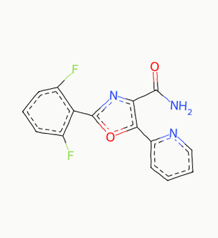 NC(=O)c1nc(-c2c(F)cccc2F)oc1-c1ccccn1